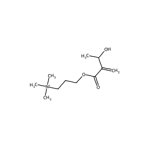 C=C(C(=O)OCCC[N+](C)(C)C)C(C)O